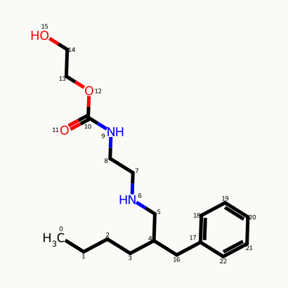 CCCCC(CNCCNC(=O)OCCO)Cc1ccccc1